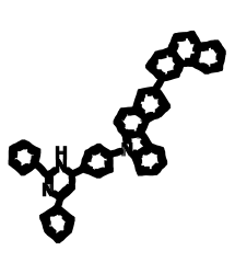 C1=C(c2ccccc2)N=C(c2ccccc2)NC1c1ccc(-n2c3ccccc3c3c4ccc(-c5ccc6ccc7ccccc7c6c5)cc4ccc32)cc1